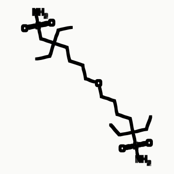 CCC(CC)(CCCCOCCCCC(CC)(CC)S(N)(=O)=O)CS(N)(=O)=O